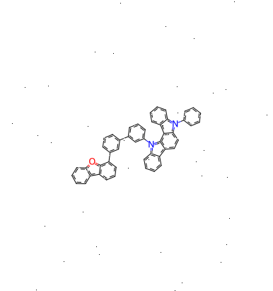 c1ccc(-n2c3ccccc3c3c2ccc2c4ccccc4n(-c4cccc(-c5cccc(-c6cccc7c6oc6ccccc67)c5)c4)c23)cc1